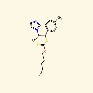 CCCCCOC(=S)SC(c1ccc(C)cc1)C(C)n1ccnc1